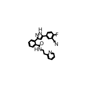 N#Cc1cc(-c2cc(-c3ccccc3C(=O)NCCc3ccccn3)n[nH]2)ccc1F